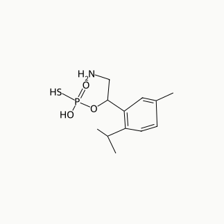 Cc1ccc(C(C)C)c(C(CN)OP(=O)(O)S)c1